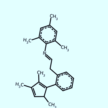 CC1=CC(C)C(c2ccccc2CC=Nc2c(C)cc(C)cc2C)=C1C